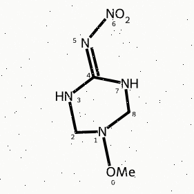 CON1CNC(=N[N+](=O)[O-])NC1